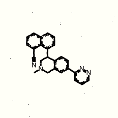 CN1Cc2cc(-c3cccnn3)ccc2C(c2cccc3cccc(C#N)c23)C1